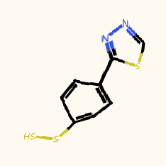 SSc1ccc(-c2nncs2)cc1